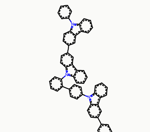 c1ccc(-c2ccc3c(c2)c2ccccc2n3-c2ccc(-c3ccccc3-n3c4ccccc4c4cc(-c5ccc6c(c5)c5ccccc5n6-c5ccccc5)ccc43)cc2)cc1